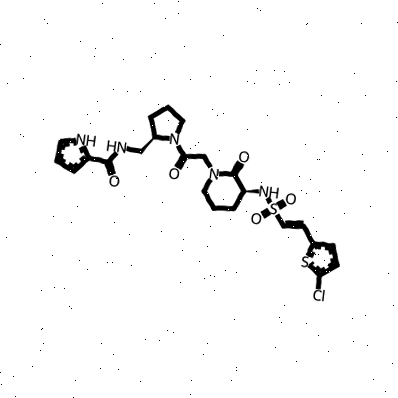 O=C(NC[C@H]1CCCN1C(=O)CN1CCC[C@H](NS(=O)(=O)/C=C/c2ccc(Cl)s2)C1=O)c1ccc[nH]1